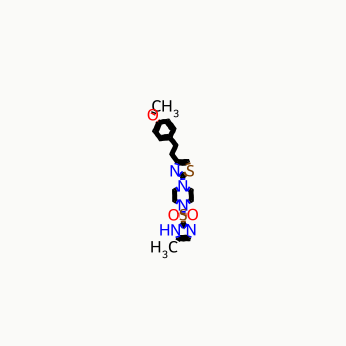 COc1ccc(CCc2csc(N3CCN(S(=O)(=O)c4ncc(C)[nH]4)CC3)n2)cc1